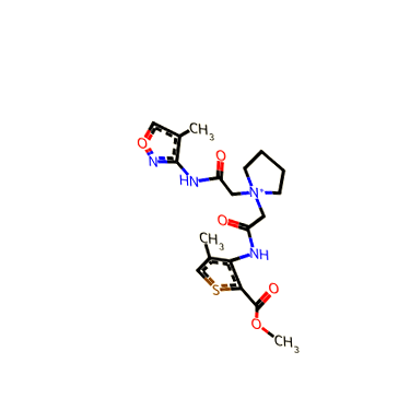 COC(=O)c1scc(C)c1NC(=O)C[N+]1(CC(=O)Nc2nocc2C)CCCC1